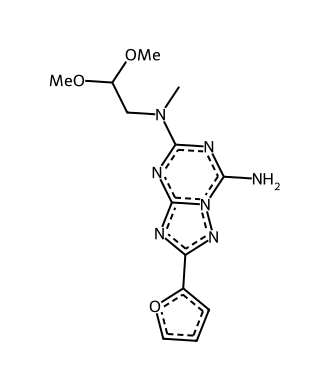 COC(CN(C)c1nc(N)n2nc(-c3ccco3)nc2n1)OC